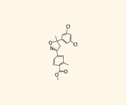 COC(=O)c1ccc(C2=NOC(C)(c3cc(Cl)cc(Cl)c3)C2)cc1C